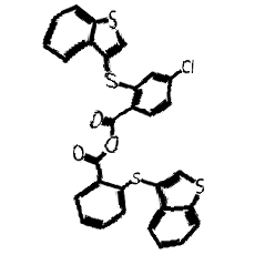 O=C(OC(=O)c1ccc(Cl)cc1Sc1csc2ccccc12)c1ccccc1Sc1csc2ccccc12